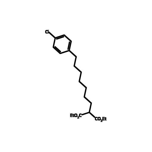 CCOC(=O)C(CCCCCCCc1ccc(Cl)cc1)C(=O)OCC